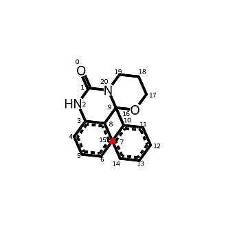 O=C1Nc2ccccc2C2(c3ccccc3)OCCCN12